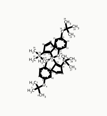 CC(C)(C)Oc1ccc([O][Zr]([O]c2ccc(OC(C)(C)C)cc2)([C]2=C([Si](C)(C)C)C=CC2)[C]2=C([Si](C)(C)C)C=CC2)cc1